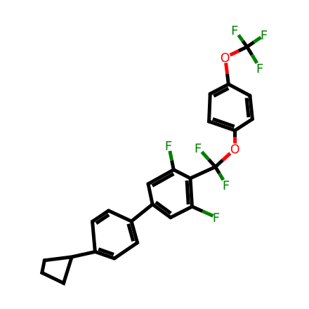 Fc1cc(-c2ccc(C3CCC3)cc2)cc(F)c1C(F)(F)Oc1ccc(OC(F)(F)F)cc1